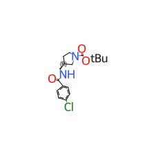 CC(C)(C)OC(=O)N1CC[C@H](CNC(=O)c2ccc(Cl)cc2)C1